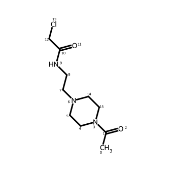 CC(=O)N1CCN(CCNC(=O)CCl)CC1